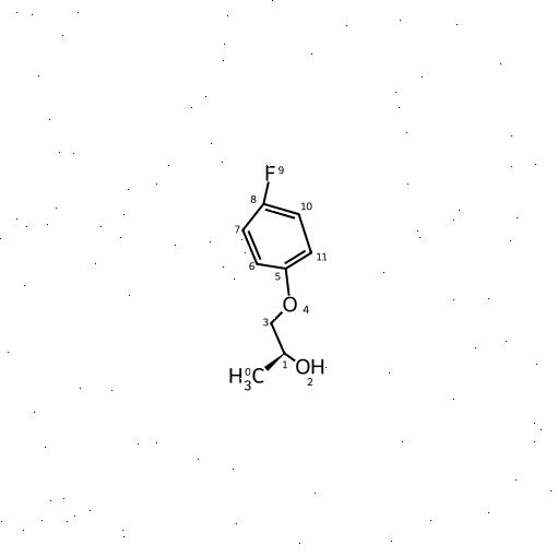 C[C@H](O)COc1ccc(F)cc1